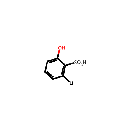 [Li][c]1cccc(O)c1S(=O)(=O)O